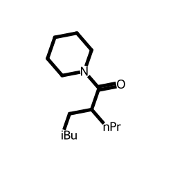 CCCC(CC(C)CC)C(=O)N1CCCCC1